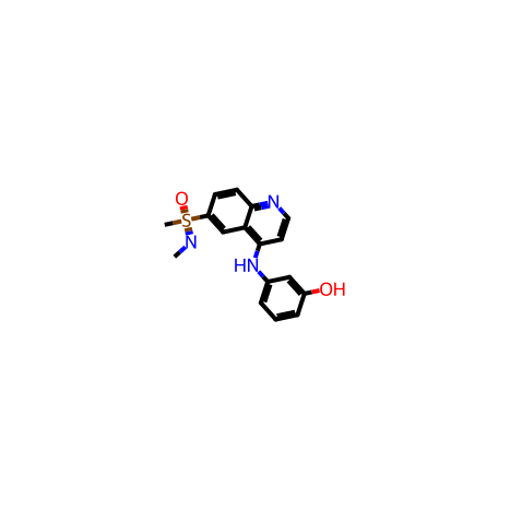 CN=S(C)(=O)c1ccc2nccc(Nc3cccc(O)c3)c2c1